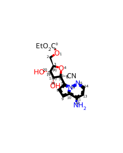 CCOC(=O)OC[C@H]1O[C@@](C#N)(c2ccc3c(N)ccnn23)[C@H](O)[C@@H]1O